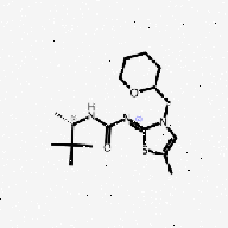 Cc1cn(CC2CCCCO2)/c(=N/C(=O)N[C@@H](C)C(C)(C)C)s1